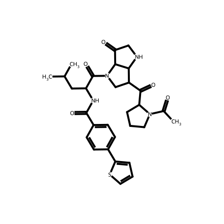 CC(=O)N1CCCC1C(=O)C1CN(C(=O)C(CC(C)C)NC(=O)c2ccc(-c3cccs3)cc2)C2C(=O)CNC12